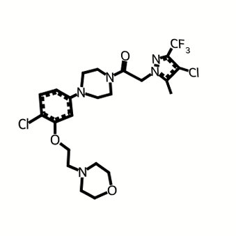 Cc1c(Cl)c(C(F)(F)F)nn1CC(=O)N1CCN(c2ccc(Cl)c(OCCN3CCOCC3)c2)CC1